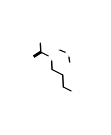 CCCCOC(C)=O.CCCCO[AsH2]